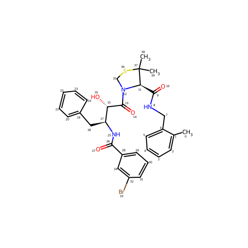 Cc1ccccc1CNC(=O)[C@H]1N(C(=O)[C@@H](O)[C@H](Cc2ccccc2)NC(=O)c2cccc(Br)c2)CSC1(C)C